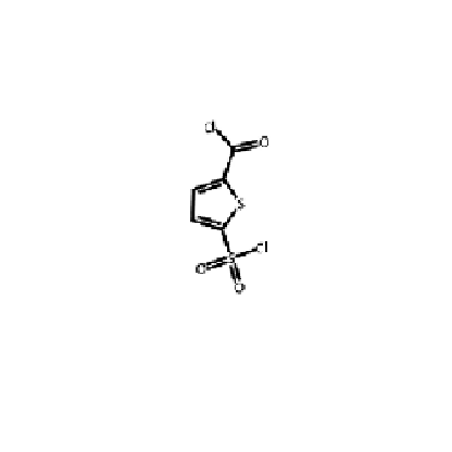 O=C(Cl)c1ccc(S(=O)(=O)Cl)s1